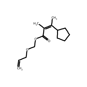 C=CCOCOC(=O)C(C)=C(C)C1CCCC1